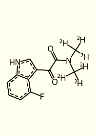 [2H]C([2H])([2H])N(C(=O)C(=O)c1c[nH]c2cccc(F)c12)C([2H])([2H])[2H]